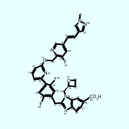 Cn1cc(C=Cc2cnc(COc3cccc(-c4cc(F)c(Cc5nc6ccc(C(=O)O)cc6n5C[C@@H]5CCO5)cc4F)n3)c(F)c2)cn1